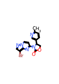 Cc1ccc(C2COC(=O)N2c2ccn3ncc(Br)c3n2)cn1